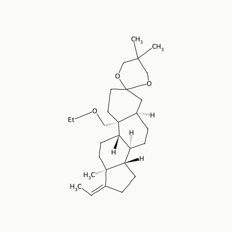 C/C=C1/CC[C@H]2[C@@H]3CC[C@@H]4CC5(CC[C@]4(COCC)[C@H]3CC[C@]12C)OCC(C)(C)CO5